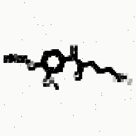 CCCCCCCCCOc1ccc(NC(=O)CCCN)cc1C(F)(F)F